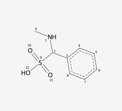 CNC(c1ccccc1)S(=O)(=O)O